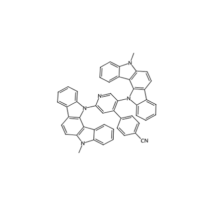 Cn1c2ccccc2c2c1ccc1c3ccccc3n(-c3cc(-c4ccc(C#N)cc4)c(-n4c5ccccc5c5ccc6c(c7ccccc7n6C)c54)cn3)c12